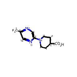 O=C(O)C1CCN(c2cnc(C(F)(F)F)cn2)CC1